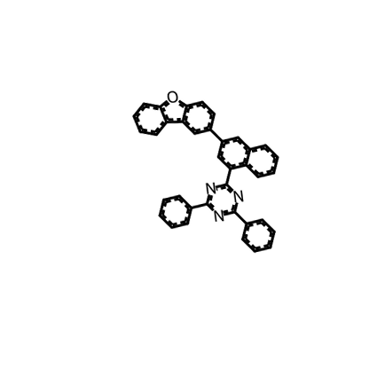 c1ccc(-c2nc(-c3ccccc3)nc(-c3cc(-c4ccc5oc6ccccc6c5c4)cc4ccccc34)n2)cc1